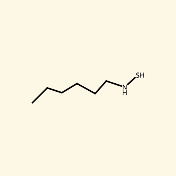 CCCCCCNS